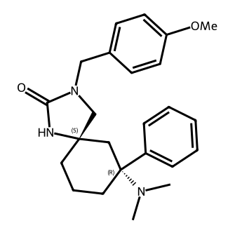 COc1ccc(CN2C[C@@]3(CCC[C@@](c4ccccc4)(N(C)C)C3)NC2=O)cc1